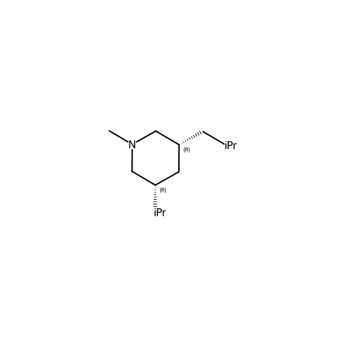 CC(C)C[C@@H]1C[C@H](C(C)C)CN(C)C1